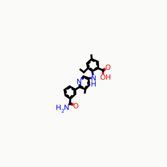 CCc1cc(C)cc(C(=O)O)c1Nc1cnc(-c2cccc(C(N)=O)c2)c(C)c1